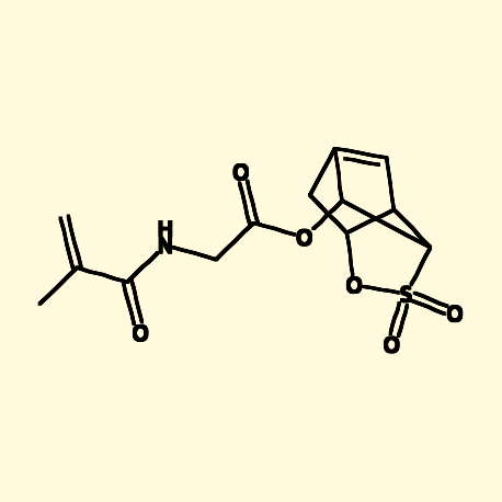 C=C(C)C(=O)NCC(=O)OC1C2=CC3C(C2)OS(=O)(=O)C13